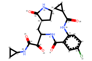 C[C@@H]1C[C@@H](CC(NC(=O)c2cc(Cl)ccc2NC(=O)C2CC2)C(=O)C(=O)NC2CC2)C(=O)N1